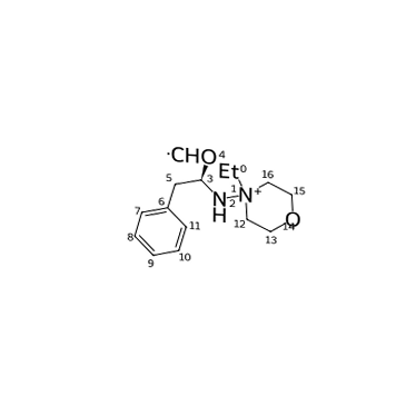 CC[N+]1(N[C@H]([C]=O)Cc2ccccc2)CCOCC1